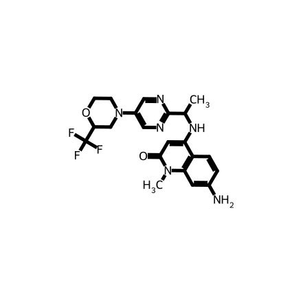 CC(Nc1cc(=O)n(C)c2cc(N)ccc12)c1ncc(N2CCOC(C(F)(F)F)C2)cn1